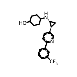 OC1CCC(N[C@@H]2C[C@H]2c2ccc(-c3cccc(C(F)(F)F)c3)nc2)CC1